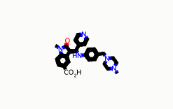 CN1CCN(Cc2ccc(NC(=C3C(=O)N(C)c4ccc(C(=O)O)cc43)c3ccncc3)cc2)CC1